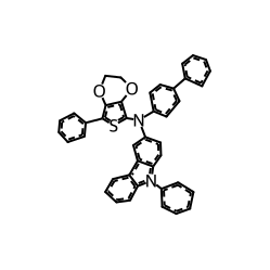 c1ccc(-c2ccc(N(c3ccc4c(c3)c3ccccc3n4-c3ccccc3)c3sc(-c4ccccc4)c4c3OCCO4)cc2)cc1